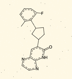 Cc1cccc(F)c1C1CCC(c2cc3nccnc3[nH]c2=O)C1